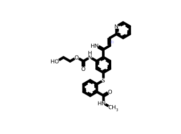 CNC(=O)c1ccccc1Sc1ccc(C(=N)/C=C/c2ccccn2)c(NC(=O)OCCO)c1